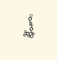 COc1cc2c(cc1OC)[C@H]1CCCC[C@H]1N=C2c1ccc(C(C)=NOCc2ccc(Cl)cc2)cc1